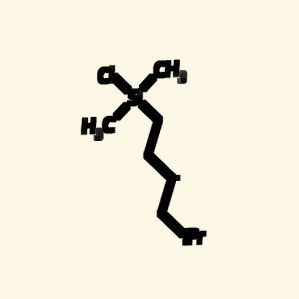 CC(C)C[CH]CC[Si](C)(C)Cl